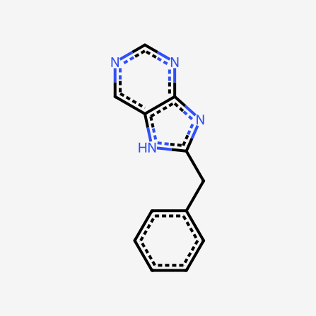 c1ccc(Cc2nc3ncncc3[nH]2)cc1